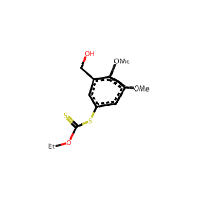 CCOC(=S)Sc1cc(CO)c(OC)c(OC)c1